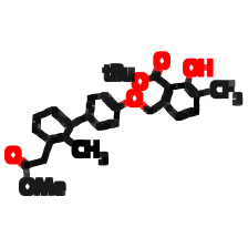 COC(=O)Cc1cccc(-c2ccc(OCc3ccc(C(F)(F)F)c(O)c3C(=O)OC(C)(C)C)cc2)c1C